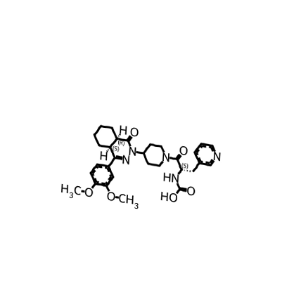 COc1ccc(C2=NN(C3CCN(C(=O)[C@H](Cc4cccnc4)NC(=O)O)CC3)C(=O)[C@@H]3CCCC[C@H]23)cc1OC